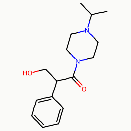 CC(C)N1CCN(C(=O)C(CO)c2ccccc2)CC1